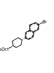 CCCCCCCC[C@H]1CC[C@H](c2ccc3cc(Br)ccc3c2)CC1